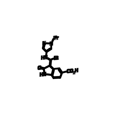 CC/C(Nc1cnn(C(C)C)c1)=C1/C(=O)Nc2ccc(C(=O)O)cc21